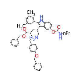 CCCNC(=O)Oc1ccc2[nH]c(-c3cc(C)cc(C)c3)c(C(CN)CC(CCc3ccc(OCc4ccccc4)cc3)C(=O)OCc3ccccc3)c2c1